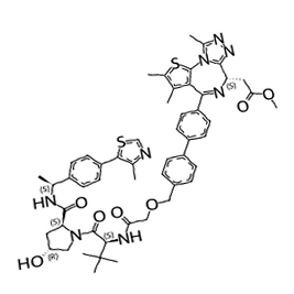 COC(=O)C[C@@H]1N=C(c2ccc(-c3ccc(COCC(=O)N[C@H](C(=O)N4C[C@H](O)C[C@H]4C(=O)N[C@@H](C)c4ccc(-c5scnc5C)cc4)C(C)(C)C)cc3)cc2)c2c(sc(C)c2C)-n2c(C)nnc21